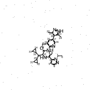 CCn1nccc1C(=O)NC(C(=O)Nc1ncc(-c2c(C)n[nH]c2C)cc1F)C(C1CC1)C1CC1